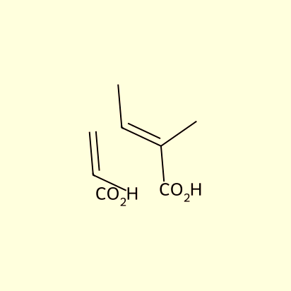 C=CC(=O)O.CC=C(C)C(=O)O